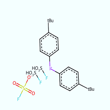 CC(C)(C)c1ccc([I+]c2ccc(C(C)(C)C)cc2)cc1.O=S(=O)(O)F.O=S(=O)(O)F.O=S(=O)([O-])F